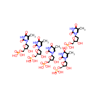 Cc1cn([C@H]2C[C@H](O)[C@@H](COP(=O)(O)O)O2)c(=O)[nH]c1=O.Cc1cn([C@H]2C[C@H](O)[C@@H](COP(=O)(O)O)O2)c(=O)[nH]c1=O.Cc1cn([C@H]2C[C@H](O)[C@@H](COP(=O)(O)O)O2)c(=O)[nH]c1=O.Cc1cn([C@H]2C[C@H](O)[C@@H](COP(=O)(O)O)O2)c(=O)[nH]c1=O.Cc1cn([C@H]2C[C@H](O)[C@@H](COP(=O)(O)O)O2)c(=O)[nH]c1=O